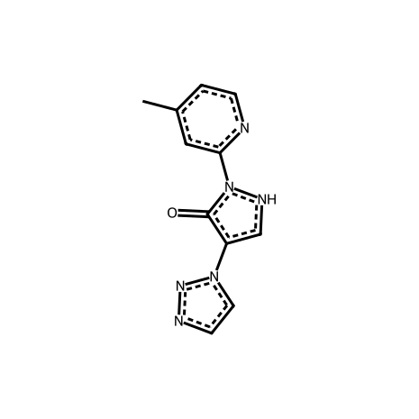 Cc1ccnc(-n2[nH]cc(-n3ccnn3)c2=O)c1